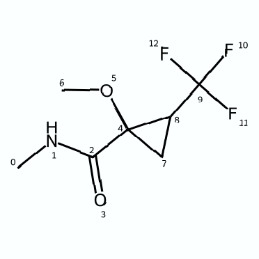 CNC(=O)C1(OC)CC1C(F)(F)F